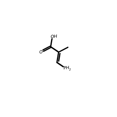 C/C(=C\P)C(=O)O